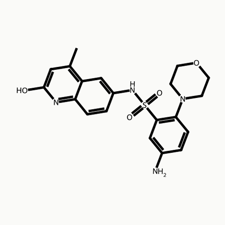 Cc1cc(O)nc2ccc(NS(=O)(=O)c3cc(N)ccc3N3CCOCC3)cc12